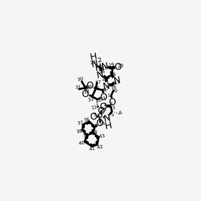 CCOC(=O)[C@H](C)NP(=O)(OC[C@H]1O[C@@H](n2cnc3c(=O)[nH]c(N)nc32)C2(C)OC(C)(C)OC12)Oc1cccc2ccccc12